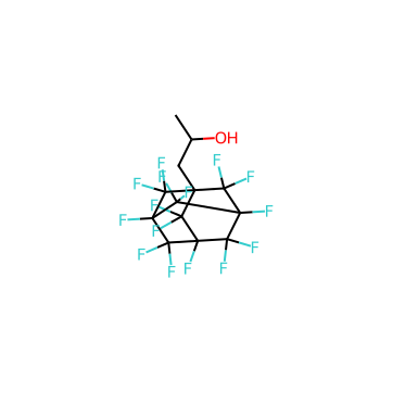 CC(O)CC12C(F)(F)C3(F)C(F)(F)C(F)(C(F)(F)C(F)(C3(F)F)C1(F)F)C2(F)F